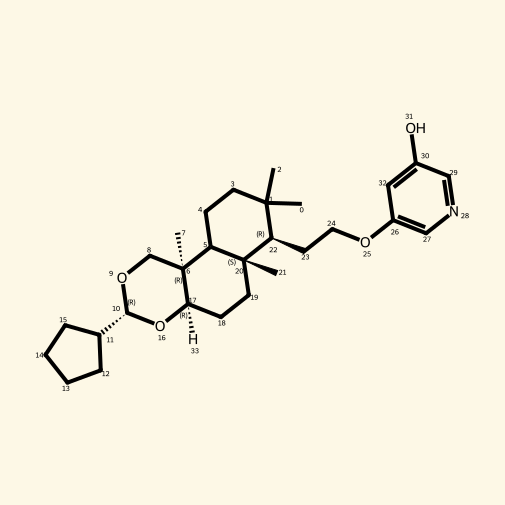 CC1(C)CCC2[C@]3(C)CO[C@@H](C4CCCC4)O[C@@H]3CC[C@@]2(C)[C@@H]1CCOc1cncc(O)c1